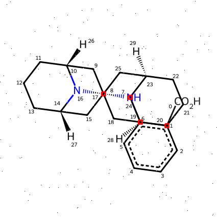 O=C(O)c1ccccc1N[C@H]1C[C@H]2CCC[C@@H](C1)N2[C@H]1C[C@@H]2CCC[C@@H](C2)C1